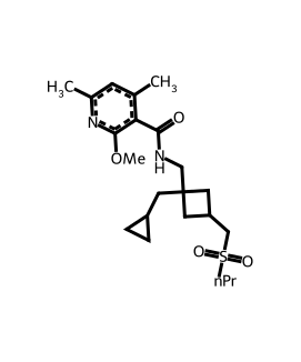 CCCS(=O)(=O)CC1CC(CNC(=O)c2c(C)cc(C)nc2OC)(CC2CC2)C1